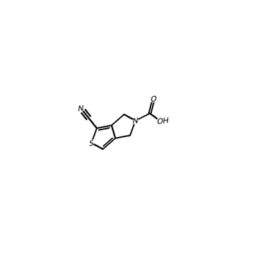 N#Cc1scc2c1CN(C(=O)O)C2